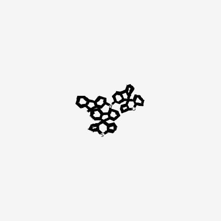 CC1(C)c2ccccc2-c2ccc(N(c3ccc4c(c3)C3(c5ccccc5Oc5ccccc53)c3ccccc3-4)c3cccc4c3-c3ccccc3C43c4ccccc4Sc4ccccc43)cc21